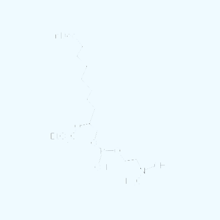 CCCCCCCCCCCCCCCCCC(COP(O)OCCN(C)C)OC(=O)OCC